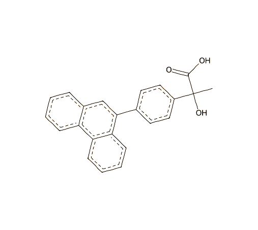 CC(O)(C(=O)O)c1ccc(-c2cc3ccccc3c3ccccc23)cc1